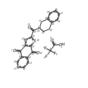 O=C(O)C(F)(F)F.O=C1c2cnccc2C(=O)c2sc(C(=O)N3CCc4ccccc4C3)nc21